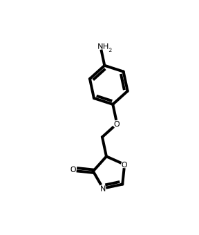 Nc1ccc(OCC2OC=NC2=O)cc1